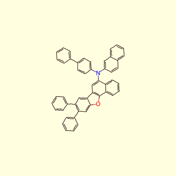 c1ccc(-c2ccc(N(c3ccc4ccccc4c3)c3cc4c5cc(-c6ccccc6)c(-c6ccccc6)cc5oc4c4ccccc34)cc2)cc1